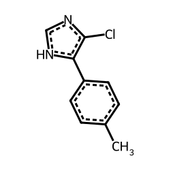 Cc1ccc(-c2[nH]cnc2Cl)cc1